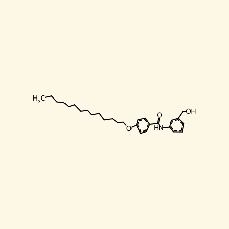 CCCCCCCCCCCCCCOc1ccc(C(=O)Nc2cccc(CO)c2)cc1